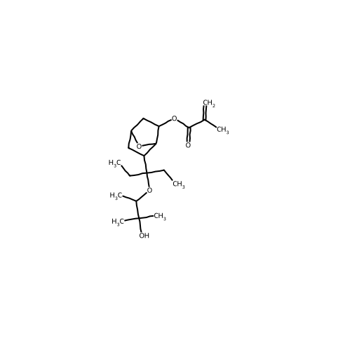 C=C(C)C(=O)OC1CC2CC(C(CC)(CC)OC(C)C(C)(C)O)C1O2